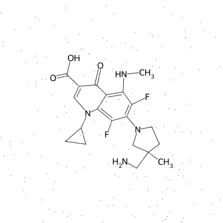 CNc1c(F)c(N2CCC(C)(CN)C2)c(F)c2c1c(=O)c(C(=O)O)cn2C1CC1